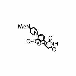 CNC1CCN(c2ccc(C3CCC(=O)NC3=O)cc2)CC1.O=CO